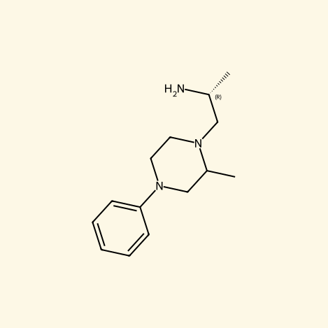 CC1CN(c2ccccc2)CCN1C[C@@H](C)N